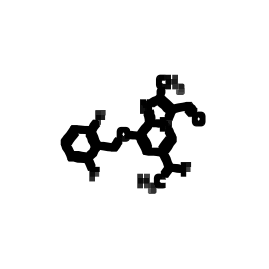 Cc1nc2c(OCc3c(F)cccc3F)cc(C(C)F)cn2c1C=O